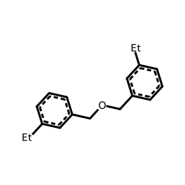 CCc1cccc(COCc2cccc(CC)c2)c1